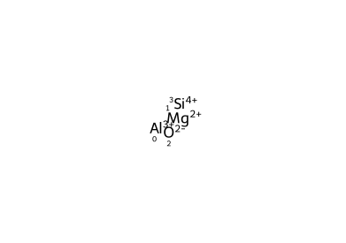 [Al+3].[Mg+2].[O-2].[Si+4]